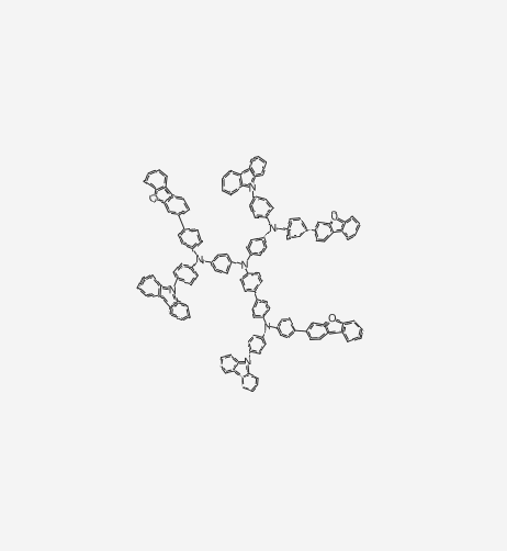 c1ccc2c(c1)oc1cc(-c3ccc(N(c4ccc(-c5ccc(N(c6ccc(N(c7ccc(-c8ccc9c(c8)oc8ccccc89)cc7)c7ccc(-n8c9ccccc9c9ccccc98)cc7)cc6)c6ccc(N(c7ccc(-c8ccc9c(c8)oc8ccccc89)cc7)c7ccc(-n8c9ccccc9c9ccccc98)cc7)cc6)cc5)cc4)c4ccc(-n5c6ccccc6c6ccccc65)cc4)cc3)ccc12